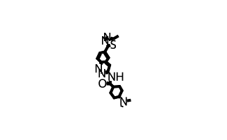 Cc1nnc(-c2ccc3nnc(NC(=O)C4CCC(N(C)C)CC4)cc3c2)s1